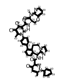 Cc1cc(=O)c(C(=O)NC2c3cccc(-c4ccc(-n5nc(C(=O)N[C@H]6COc7cccnc7N(C)C6=O)c(=O)c(Cl)c5C)cc4)c3CCn3ccnc32)nn1-c1ccccc1